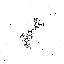 CSc1cc(Cl)nc(OCc2cnc(-c3nc(C(C)(F)F)cn3C3CC3)c(F)c2)n1